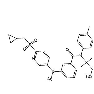 CC(=O)N(c1ccc(S(=O)(=O)CC2CC2)nc1)c1cccc(C(=O)N(c2ccc(C)cc2)C(C)(C)CO)c1